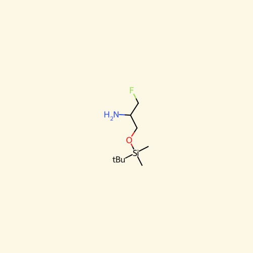 CC(C)(C)[Si](C)(C)OCC(N)CF